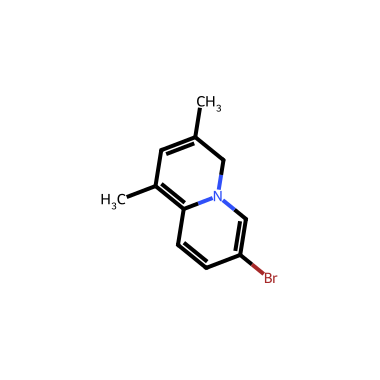 CC1=CC(C)=C2C=CC(Br)=CN2C1